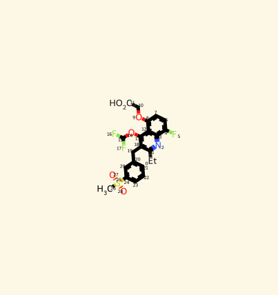 CCc1nc2c(F)ccc(OCC(=O)O)c2c(OC(F)F)c1Cc1cccc(S(C)(=O)=O)c1